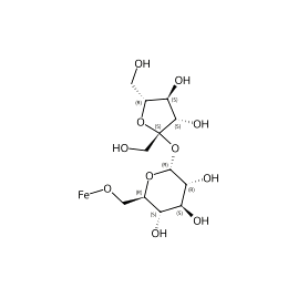 OC[C@H]1O[C@@](CO)(O[C@H]2O[C@H](C[O][Fe])[C@@H](O)[C@H](O)[C@H]2O)[C@@H](O)[C@@H]1O